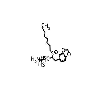 CCCCCCCC[S+]([O-])C(C)Cc1ccc2c(c1)OCO2.NC(=S)S